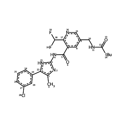 Cc1nc(NC(=O)c2cc(CNC(=O)C(C)(C)C)cnc2C(F)F)[nH]c1-c1cccc(Cl)c1